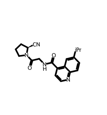 CC(C)c1ccc2nccc(C(=O)NCC(=O)N3CCC[C@H]3C#N)c2c1